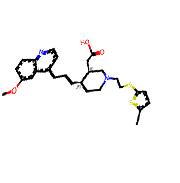 COc1ccc2nccc(CCC[C@@H]3CCN(CCSc4ccc(C)s4)C[C@@H]3CC(=O)O)c2c1